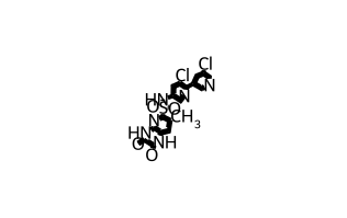 Cc1cc2[nH]c(=O)c(=O)[nH]c2nc1S(=O)(=O)Nc1cnc(-c2cncc(Cl)c2)c(Cl)c1